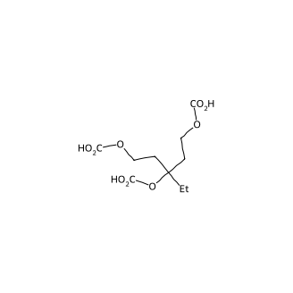 CCC(CCOC(=O)O)(CCOC(=O)O)OC(=O)O